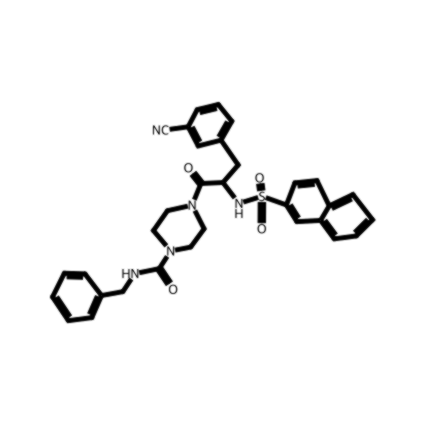 N#Cc1cccc(CC(NS(=O)(=O)c2ccc3ccccc3c2)C(=O)N2CCN(C(=O)NCc3ccccc3)CC2)c1